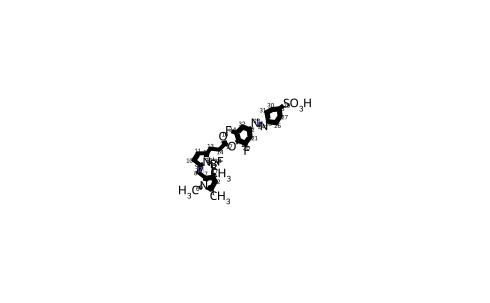 Cc1cc(C)n(C)c1/C=C1/C=CC(CCC(=O)Oc2c(F)cc(/N=N/c3ccc(S(=O)(=O)O)cc3)cc2F)=[N+]1B(F)F